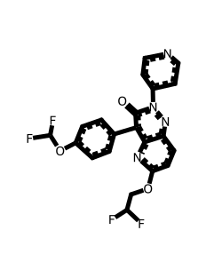 O=c1c(-c2ccc(OC(F)F)cc2)c2nc(OCC(F)F)ccc2nn1-c1ccncc1